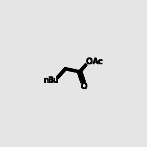 [CH2]CCCCC(=O)OC(C)=O